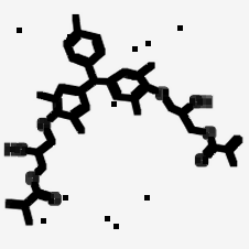 C=C(C)C(=O)OCC(O)COc1c(C)cc(C(c2ccc(C)cc2)c2cc(C)c(OCC(O)COC(=O)C(=C)C)c(C)c2)cc1C